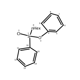 CCCCCC[Si](Cl)(Oc1ccccc1)c1ccccc1